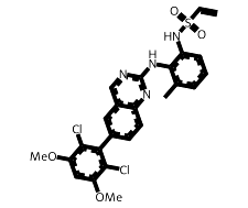 C=CS(=O)(=O)Nc1cccc(C)c1Nc1ncc2cc(-c3c(Cl)c(OC)cc(OC)c3Cl)ccc2n1